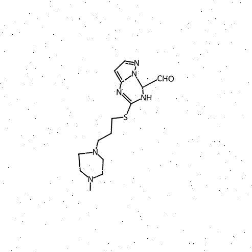 CN1CCN(CCCSC2=Nc3ccnn3C(C=O)N2)CC1